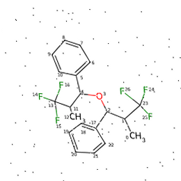 CC(C(OC(c1ccccc1)C(C)C(F)(F)F)c1ccccc1)C(F)(F)F